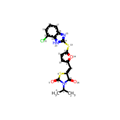 CC(C)N1C(=O)S/C(=C\c2ccc(Sc3nc4cccc(Cl)c4[nH]3)o2)C1=O